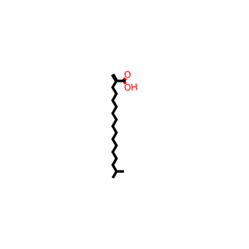 C=C(CCCCCCCCCCCCCC(C)C)C(=O)O